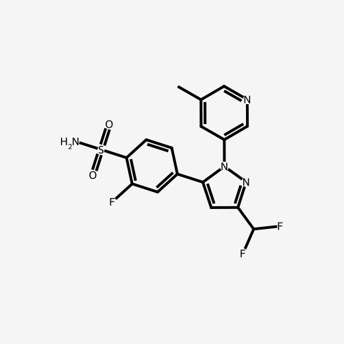 Cc1cncc(-n2nc(C(F)F)cc2-c2ccc(S(N)(=O)=O)c(F)c2)c1